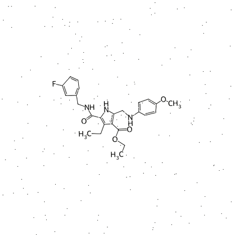 CCOC(=O)c1c(CNc2ccc(OC)cc2)[nH]c(C(=O)NCc2cccc(F)c2)c1CC